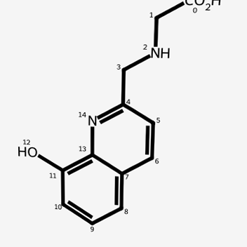 O=C(O)CNCc1ccc2cccc(O)c2n1